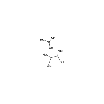 CCCCC(O)C(O)CCCC.OB(O)O